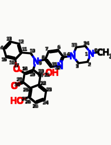 CN1CCN(c2ccc(N3Cc4ccccc4OC4=C3[C@H](O)c3cccc(O)c3C4=O)cn2)CC1